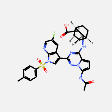 CC(=O)Nc1ccc2c(N[C@H]3[C@H]4CC[C@H](CC4)[C@@H]3C(=O)O)nc(-c3cn(S(=O)(=O)c4ccc(C)cc4)c4ncc(F)cc34)nn12